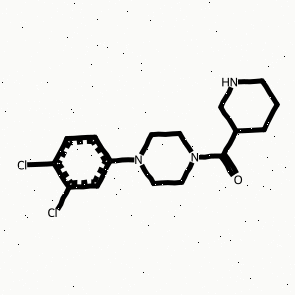 O=C(C1CCCNC1)N1CCN(c2ccc(Cl)c(Cl)c2)CC1